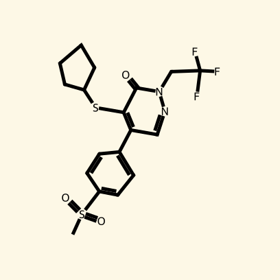 CS(=O)(=O)c1ccc(-c2cnn(CC(F)(F)F)c(=O)c2SC2CCCC2)cc1